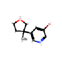 COC1(c2cncc(Br)c2)CCOC1